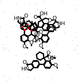 CCC(CCC(C(=O)Oc1c(-c2ccc3c(c2)CNC3=O)ccc(OC)c1OC)(C(C1CCCC1)C(C(=O)O)c1c(-c2ccc3c(c2)CNC3=O)ccc(OC)c1OC)C(C)(C)C)(C(=O)O)c1c(-c2ccc3c(c2)CNC3=O)ccc(OC)c1OC.COc1ccc(-c2ccc3c(c2)CNC3=O)c(C2(C(=O)O)CCCCC2)c1OC